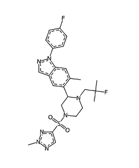 Cc1cc2c(cnn2-c2ccc(F)cc2)cc1C1CN(S(=O)(=O)c2cnn(C)n2)CCN1CC(C)(C)F